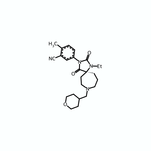 CCN1C(=O)N(c2ccc(C)c(C#N)c2)C(=O)[C@@]12CCCN(CC1CCOCC1)CC2